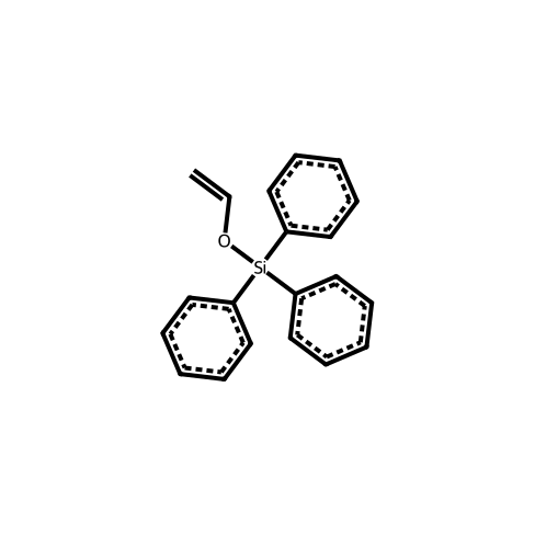 C=CO[Si](c1ccccc1)(c1ccccc1)c1ccccc1